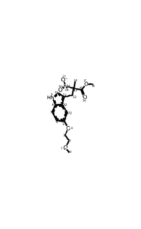 COCCOc1ccc2[nH]cc(CC(C)(C(=O)OC)[N+](=O)[O-])c2c1